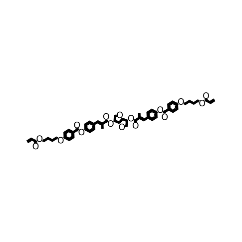 C=CC(=O)OCCCCOc1ccc(C(=O)Oc2ccc(/C=C(\C)C(=O)O[C@@H]3COC4C3OC[C@H]4OC(=O)/C(C)=C/c3ccc(OC(=O)c4ccc(OCCCCOC(=O)C=C)cc4)cc3)cc2)cc1